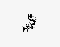 NCc1cccc(NS(=O)(=O)C2CC2)n1